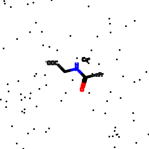 CCCC(=O)NCC(=O)[O-].[Cu+]